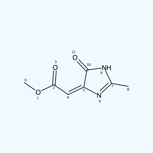 COC(=O)/C=C1/N=C(C)NC1=O